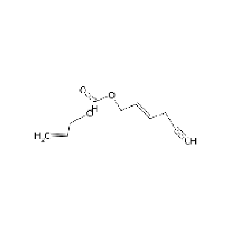 C#CCC=CCO[PH](=O)OCC=C